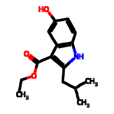 CCOC(=O)c1c(CC(C)C)[nH]c2ccc(O)cc12